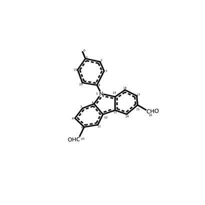 Cc1ccc(-n2c3ccc(C=O)cc3c3cc(C=O)ccc32)cc1